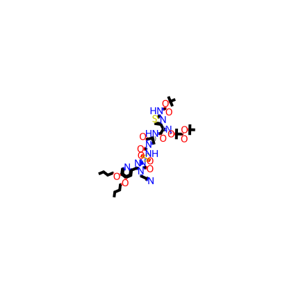 CCCCOc1cnc(-c2nn(S(=O)(=O)NC(=O)N3C[C@H](NC(=O)/C(=N\OC(C)(C)C(=O)OC(C)(C)C)c4csc(NC(=O)OC(C)(C)C)n4)C3=O)c(=O)n2CC#N)cc1OCCCC